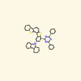 c1ccc(-c2nc(-c3ccccc3)nc(-c3cc(-n4c5ccccc5c5ccccc54)cc4c3sc3ccc5c6ccccc6sc5c34)n2)cc1